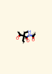 CCC(CC)(C(C)=O)C(=O)NC(C)=O